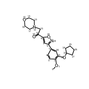 COc1ccc(-c2cc(C(=O)CN3CCOCC3)on2)cc1OC1CCCC1